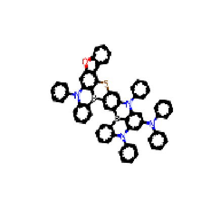 c1ccc(N(c2ccccc2)c2cc3c4c(c2)N(c2ccccc2)c2cc5c(cc2B4c2ccccc2N3c2ccccc2)B2c3ccccc3N(c3ccccc3)c3cc4oc6ccccc6c4c(c32)S5)cc1